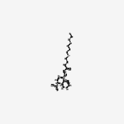 CCCCCCCCCCCC(=O)OOc1ccc([N+](=O)[O-])c2cccnc12